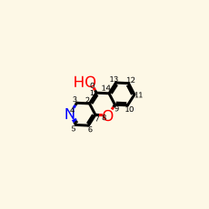 OC1=C2CN=CC=C2Oc2ccccc21